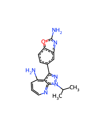 CC(C)n1nc(-c2ccc3oc(N)nc3c2)c2c1=NC=C=CC=2N